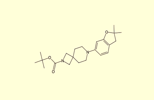 CC(C)(C)OC(=O)N1CC2(CCN(c3ccc4c(c3)OC(C)(C)C4)CC2)C1